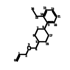 C=CCOCC1CCC(c2ccccc2CC)CC1